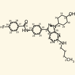 CCCCNc1ncc2c(-c3ccc(NC(=O)c4ccc(F)cc4)cc3)nn(C3CCC(O)CC3)c2n1